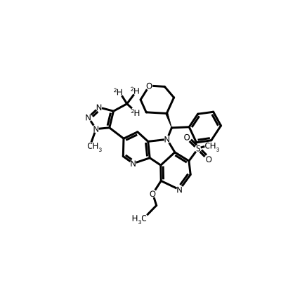 [2H]C([2H])([2H])c1nnn(C)c1-c1cnc2c3c(OCC)ncc(S(C)(=O)=O)c3n([C@H](c3ccccc3)C3CCOCC3)c2c1